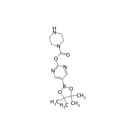 CC1(C)OB(c2cnc(OC(=O)N3CCNCC3)nc2)OC1(C)C